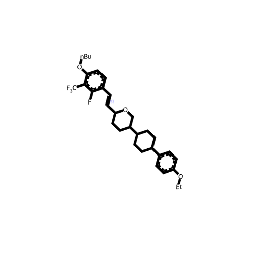 CCCCOc1ccc(/C=C/C2CCC(C3CCC(c4ccc(OCC)cc4)CC3)CO2)c(F)c1C(F)(F)F